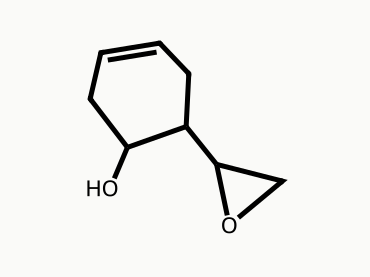 OC1CC=CCC1C1CO1